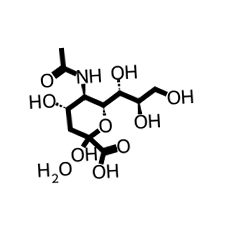 CC(=O)N[C@H]1[C@H]([C@H](O)[C@H](O)CO)OC(O)(C(=O)O)C[C@@H]1O.O